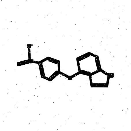 O=[N+]([O-])c1ccc(Oc2cccc3[nH]ccc23)cc1